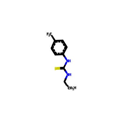 O=C(O)CNC(=S)Nc1ccc(C(F)(F)F)cc1